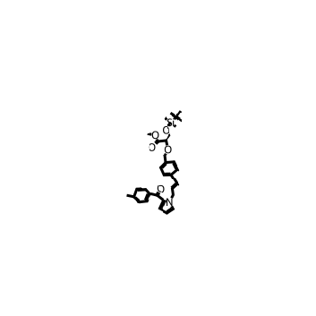 COC(=O)[C@@H](CO[Si](C)(C)C(C)(C)C)OCc1ccc(/C=C/Cn2cccc2C(=O)c2ccc(C)cc2)cc1